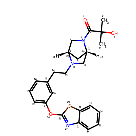 CC(C)(O)C(=O)N1C[C@@H]2C[C@H]1CN2CCc1cccc(Oc2nc3ccccc3s2)c1